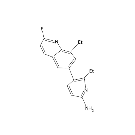 CCc1nc(N)ccc1-c1cc(CC)c2nc(F)ccc2c1